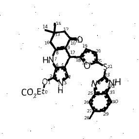 CCOC(=O)Oc1[nH]cc2c1NC1=C(C(=O)CC(C)(C)C1)C2c1ccc(Sc2nc3cc(C)ccc3[nH]2)o1